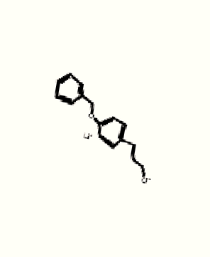 [Li+].[O-]CCCc1ccc(OCc2ccccc2)cc1